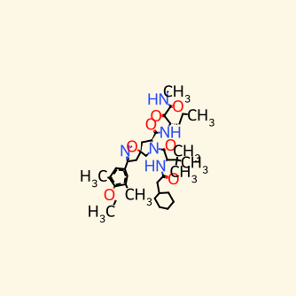 CCC[C@H](NC(=O)[C@@H]1C[C@]2(CC(c3cc(C)c(OCC)c(C)c3)=NO2)CN1C(=O)[C@@H](NC(=O)CC1CCCCC1)C(C)(C)C)C(=O)C(=O)NC